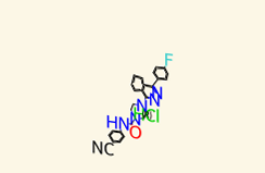 C[C@@H]1CN(C(=O)Nc2ccc(C#N)cc2)CCN1c1nnc(-c2ccc(F)cc2)c2ccccc12.Cl